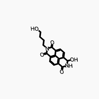 O=C1NC(O)c2ccc3c4c(ccc1c24)C(=O)N(CCCCO)C3=O